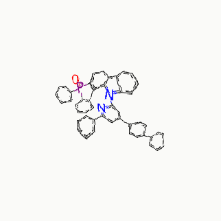 O=P1(c2ccccc2)c2ccccc2-c2c1ccc1c3ccccc3n(-c3cc(-c4ccc(-c5ccccc5)cc4)cc(-c4ccccc4)n3)c21